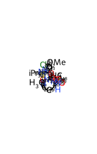 C#CC1(S(=O)(=O)NC(=O)C23CC2/C=C\CCCCN(C)C(=O)NC(CCOc2cc(-c4nc(C(C)C)cs4)nc4c(Cl)c(OC)ccc24)C(=O)N3)CC1